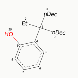 CCCCCCCCCCC(CC)(CCCCCCCCCC)c1ccccc1O